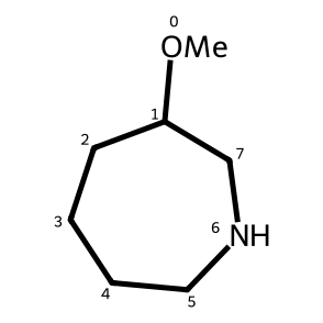 COC1CCCCNC1